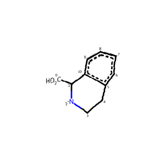 O=C(O)C1[N]CCc2ccccc21